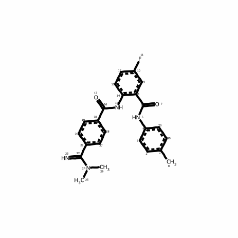 Cc1ccc(NC(=O)c2cc(F)ccc2NC(=O)c2ccc(C(=N)N(C)C)cc2)cc1